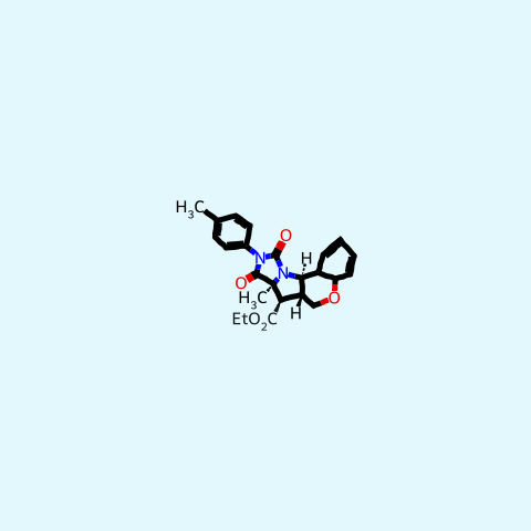 CCOC(=O)[C@@H]1[C@H]2COC3C=CC=CC3[C@@H]2N2C(=O)N(c3ccc(C)cc3)C(=O)[C@]12C